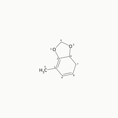 CC1=C2OCOC2CC=C1